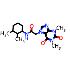 CC1CCCC(NC(=O)Cn2cnc3c2c(=O)n(C)c(=O)n3C)C1C